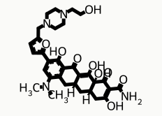 CN(C)c1cc(-c2ccc(CN3CCN(CCO)CC3)o2)c(O)c2c1C[C@H]1C[C@H]3CC(O)=C(C(N)=O)C(=O)[C@@]3(O)C(O)=C1C2=O